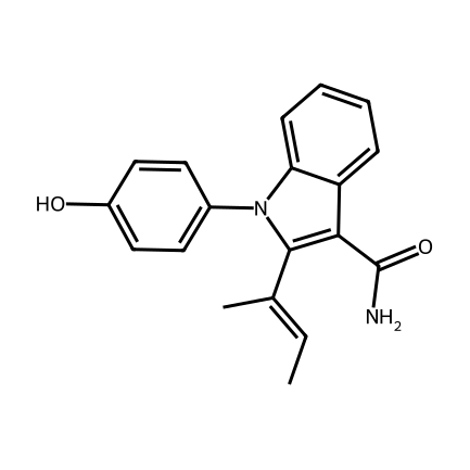 CC=C(C)c1c(C(N)=O)c2ccccc2n1-c1ccc(O)cc1